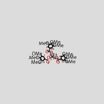 CCC(COC(=O)c1cc(OC)c(OC)c(OC)c1)(COC(=O)c1cc(OC)c(OC)c(OC)c1)COC(=O)c1cc(OC)c(OC)c(OC)c1